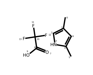 Cc1c[nH]c(C)c1.O=C(O)C(F)(F)F